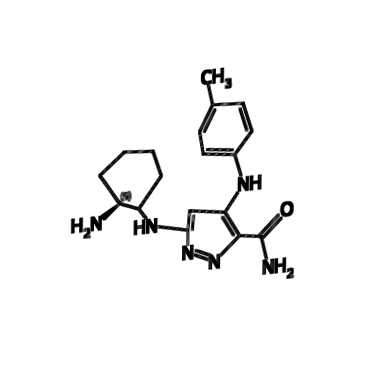 Cc1ccc(Nc2cc(NC3CCCC[C@@H]3N)nnc2C(N)=O)cc1